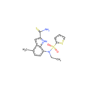 CCN(c1ccc(C)c2cc(C(N)=S)[nH]c12)S(=O)(=O)c1cccs1